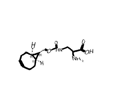 NC(CNC(=O)OC[C@H]1[C@@H]2CCC#CCC[C@@H]21)C(=O)O